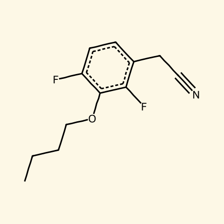 CCCCOc1c(F)ccc(CC#N)c1F